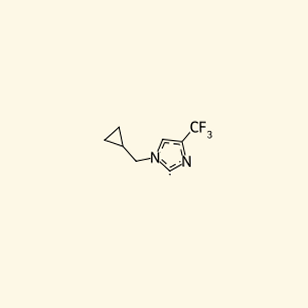 FC(F)(F)c1cn(CC2CC2)[c]n1